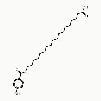 O=C(O)CCCCCCCCCCCCCCCCCOC(=O)c1ccc(O)cc1